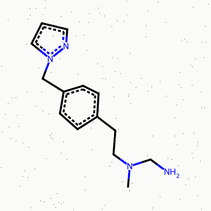 CN(CN)CCc1ccc(Cn2cccn2)cc1